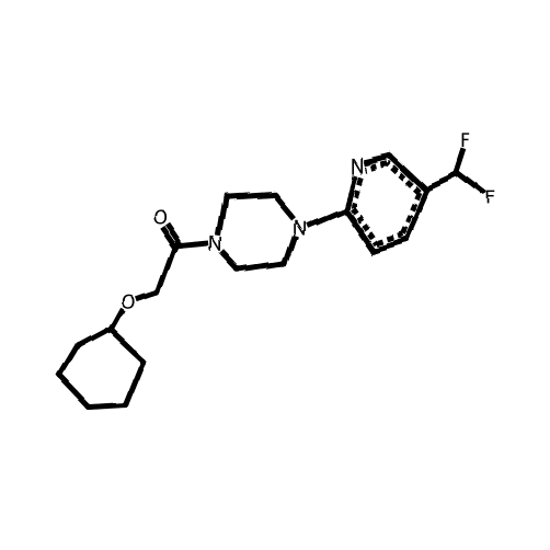 O=C(COC1CCCCC1)N1CCN(c2ccc(C(F)F)cn2)CC1